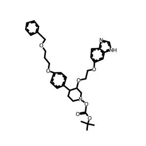 CC(C)(C)OC(=O)ON1CCC(c2ccc(OCCCOCc3ccccc3)cc2)C(OCCOc2ccc3nc[nH]c3c2)C1